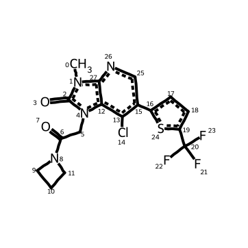 Cn1c(=O)n(CC(=O)N2CCC2)c2c(Cl)c(-c3ccc(C(F)(F)F)s3)cnc21